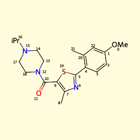 COc1ccc(-c2nc(C)c(C(=O)N3CCN(C(C)C)CC3)s2)c(C)c1